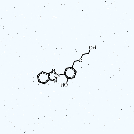 OCCOCc1ccc(O)c(-n2nc3ccccc3n2)c1